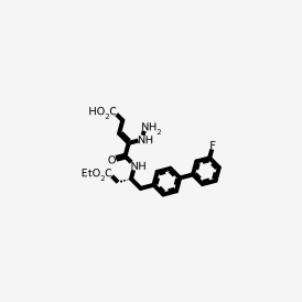 CCOC(=O)C[C@@H](Cc1ccc(-c2cccc(F)c2)cc1)NC(=O)/C(=C/CC(=O)O)NN